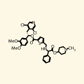 COc1ccc([C@H](Cc2c(Cl)cncc2Cl)OC(=O)c2ccc(CNC(C(=O)OC3CCN(C)CC3)c3ccccc3)s2)cc1OC